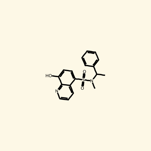 CC(c1ccccc1)N(C)S(=O)(=O)c1ccc(O)c2ncccc12